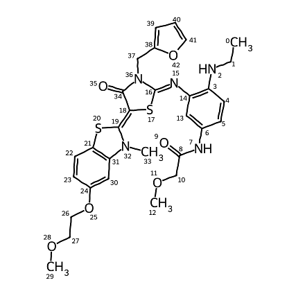 CCNc1ccc(NC(=O)COC)cc1N=C1SC(=C2Sc3ccc(OCCOC)cc3N2C)C(=O)N1Cc1ccco1